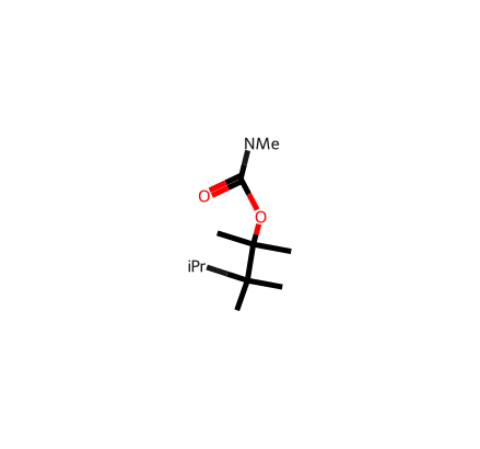 CNC(=O)OC(C)(C)C(C)(C)C(C)C